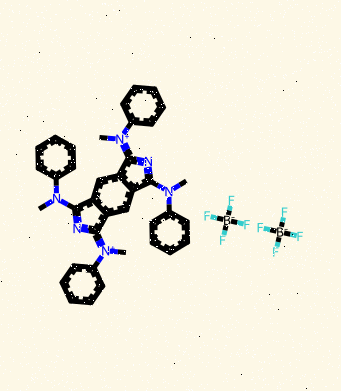 CN(c1ccccc1)c1n/c(=[N+](/C)c2ccccc2)c2cc3c(N(C)c4ccccc4)n/c(=[N+](/C)c4ccccc4)c3cc12.F[B-](F)(F)F.F[B-](F)(F)F